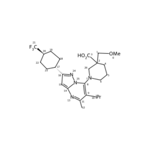 COCC1(C(=O)O)CCCN(c2c(C(C)C)c(C)nc3cc([C@H]4CC[C@H](C(F)(F)F)CC4)nn23)C1